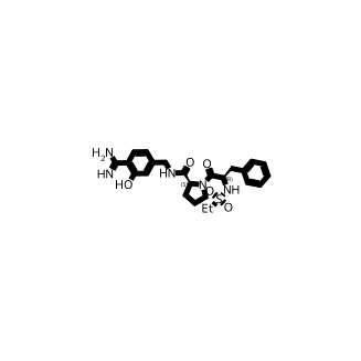 CCS(=O)(=O)N[C@H](Cc1ccccc1)C(=O)N1CCC[C@H]1C(=O)NCc1ccc(C(=N)N)c(O)c1